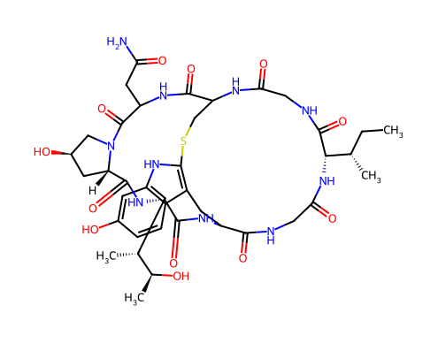 CC[C@H](C)[C@@H]1NC(=O)CNC(=O)C2Cc3c([nH]c4cc(O)ccc34)SCC(NC(=O)CNC1=O)C(=O)NC(CC(N)=O)C(=O)N1C[C@H](O)C[C@H]1C(=O)N[C@@H]([C@@H](C)[C@H](C)O)C(=O)N2